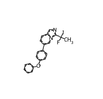 CC(F)(I)c1ncc2ccc(-c3ccc(Oc4ccccc4)cc3)cn12